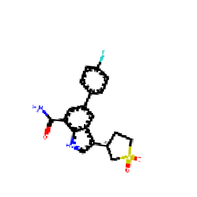 NC(=O)c1cc(-c2ccc(F)cc2)cc2c([C@H]3CCS(=O)(=O)C3)c[nH]c12